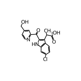 CC(C(=O)O)c1c(C(=O)c2cc(CO)ccn2)[nH]c2cc(Cl)ccc12